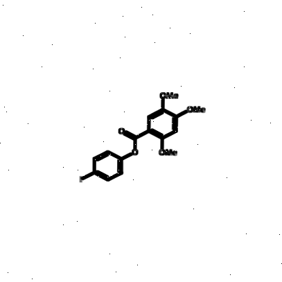 COc1cc(OC)c(C(=O)Oc2ccc(I)cc2)cc1OC